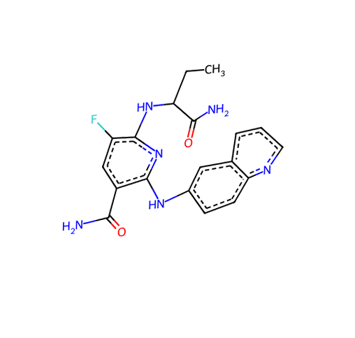 CCC(Nc1nc(Nc2ccc3ncccc3c2)c(C(N)=O)cc1F)C(N)=O